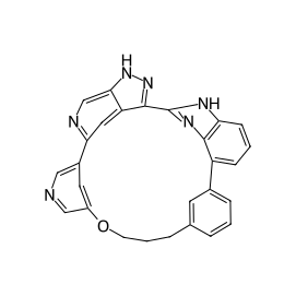 c1cc2cc(c1)-c1cccc3[nH]c(nc13)-c1n[nH]c3cnc(cc13)-c1cncc(c1)OCCC2